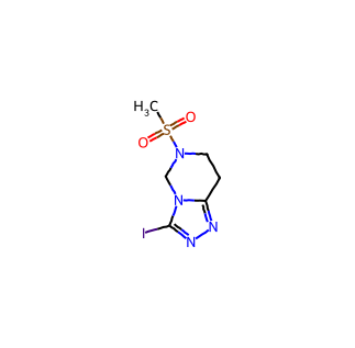 CS(=O)(=O)N1CCc2nnc(I)n2C1